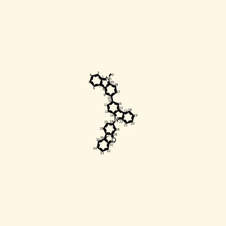 Cn1c2ccccc2c2cc(-c3ccc4c(c3)c3ccccc3n4-c3ccc4c(c3)oc3ccccc34)ccc21